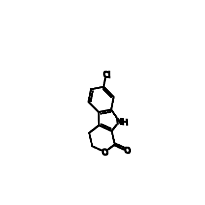 O=C1OCCc2c1[nH]c1cc(Cl)ccc21